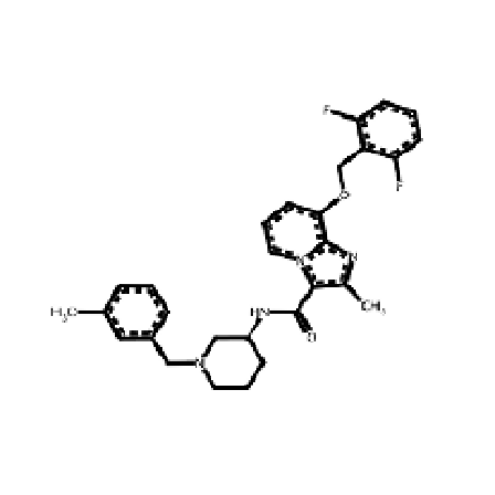 Cc1cccc(CN2CCC[C@H](NC(=O)c3c(C)nc4c(OCc5c(F)cccc5F)cccn34)C2)c1